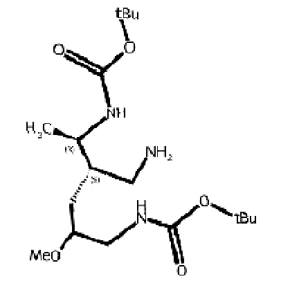 COC(CNC(=O)OC(C)(C)C)C[C@@H](CN)[C@@H](C)NC(=O)OC(C)(C)C